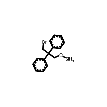 [SiH3]OCC(CBr)(c1ccccc1)c1ccccc1